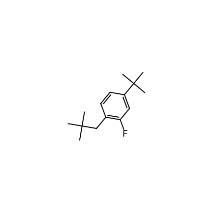 CC(C)(C)Cc1ccc(C(C)(C)C)cc1F